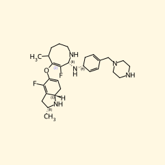 CC1CCCN[C@H](N[C@H]2C=CC(CN3CCNCC3)=CC2)/C(F)=C\1OC1=CC[C@@H]2N[C@H](C)CC2=C1F